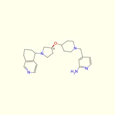 Nc1cc(CN2CCC(O[C@H]3CCN(C4CCCc5cnccc54)C3)CC2)ccn1